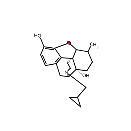 CC1CC[C@@]2(O)C3Cc4ccc(O)c5c4[C@@]2(CCN3CC2CC2)[C@H]1O5